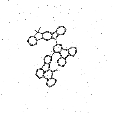 CC1(C)c2ccccc2-c2cc3c(cc21)c1ccccc1n3-c1cc(-c2ccc3c4cccc5c6ccccc6c(=O)n(c3c2)c54)c2c3ccccc3c3ccccc3c2c1